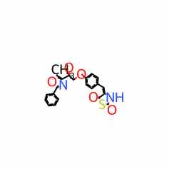 Cc1oc(-c2ccccc2)nc1C(=O)COc1ccc(C=C2NC(=O)SC2=O)cc1